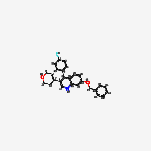 Fc1ccc(-c2c(C3=CCOCC3)cnc3cc(OCc4ccccc4)ccc23)cc1